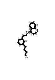 FCCCCc1cccc(CCOc2ncnc3ccccc23)c1